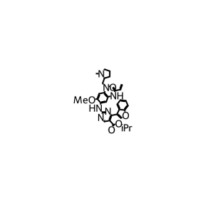 C=CC(=O)Nc1cc(Nc2ncc(C(=O)OC(C)C)c(-c3coc4ccccc34)n2)c(OC)cc1N(C)CC1CCCN1C